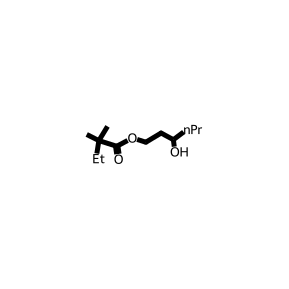 CCCC(O)CCOC(=O)C(C)(C)CC